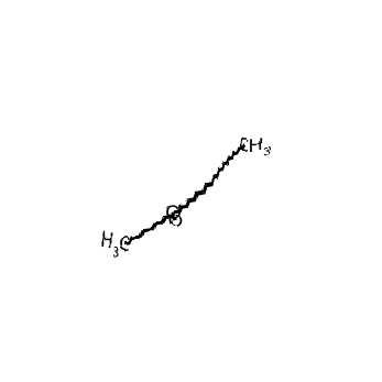 CCCCCCCCCCCCCCCCCCCCCCOC(=O)CCCCCCCCC